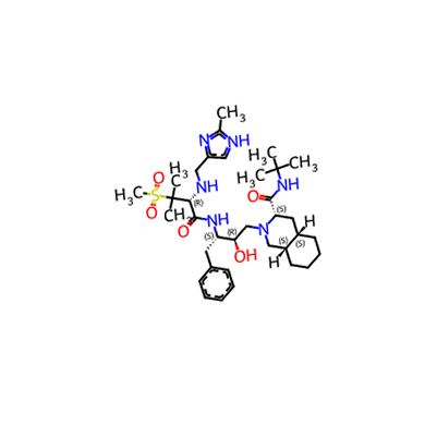 Cc1nc(CN[C@H](C(=O)N[C@@H](Cc2ccccc2)[C@H](O)CN2C[C@H]3CCCC[C@H]3C[C@H]2C(=O)NC(C)(C)C)C(C)(C)S(C)(=O)=O)c[nH]1